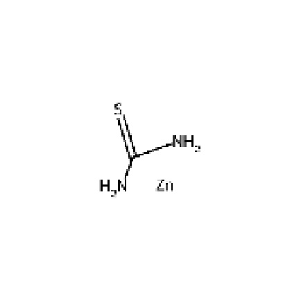 NC(N)=S.[Zn]